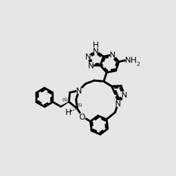 Nc1cc(C2CCN3C[C@H](Cc4ccccc4)[C@@H](C3)Oc3cccc(c3)Cn3cc2cn3)c2nn[nH]c2n1